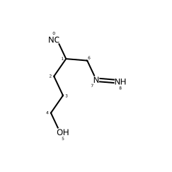 N#CC(CCCO)CN=N